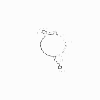 C[C@H](C[C@H](C)[C@@H]1OC(=O)C[C@@H](O)CCCC(=O)C[C@@H](O)C[C@@H](O)C[C@@H](O)CC(=O)C[C@H](O)[C@H](C(=O)O)[C@@H](O)C[C@H](O[C@@H]2O[C@@H](C)[C@@H](O)C(=O)[C@H]2O)/C=C/C=C/C=C/C=C/C=C/C=C/C=C/[C@@H]1C)[C@H](O)CC(=O)c1ccc(N)cc1